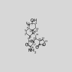 C=C1CCC2[C@@H](C)C(O)CC[C@]2(C)[C@@H]1CC(NCC(N)=O)C1=CCOC1=O